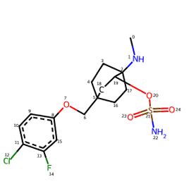 CNC12CCC(COc3ccc(Cl)c(F)c3)(CC1)CC2OS(N)(=O)=O